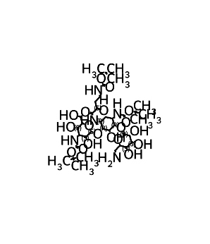 CC(C)(C)OC(=O)NCC[C@H](O)C(=O)N[C@@H]1CC(NC(=O)OC(C)(C)C)[C@@H](O[C@H]2OC(CN)[C@@H](O)[C@H](O)C2O)C(O)[C@@H]1O[C@H]1OC(CO)[C@@H](O)C(NC(=O)OC(C)(C)C)[C@@H]1O